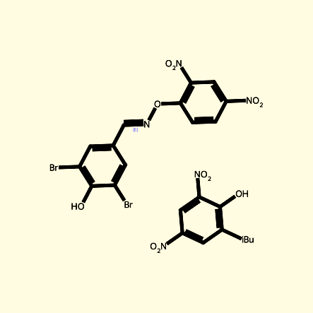 CCC(C)c1cc([N+](=O)[O-])cc([N+](=O)[O-])c1O.O=[N+]([O-])c1ccc(O/N=C/c2cc(Br)c(O)c(Br)c2)c([N+](=O)[O-])c1